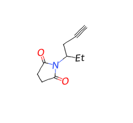 C#CCC(CC)N1C(=O)CCC1=O